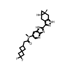 CN(C(=O)CC1CC2(C1)CC(F)(F)C2)c1cnc2nc(-c3n[nH]c4c3C[C@@H]3C[C@]3(C)C4)[nH]c2c1